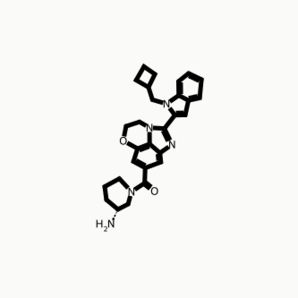 N[C@@H]1CCCN(C(=O)c2cc3c4c(c2)nc(-c2cc5ccccc5n2CC2CCC2)n4CCO3)C1